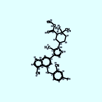 Cc1c(-c2cc(Sc3ccc(F)cc3C#N)c3c(C#N)cnn3c2)cnn1C1CCC(C)(C)N(C(=O)OC(C)(C)C)C1